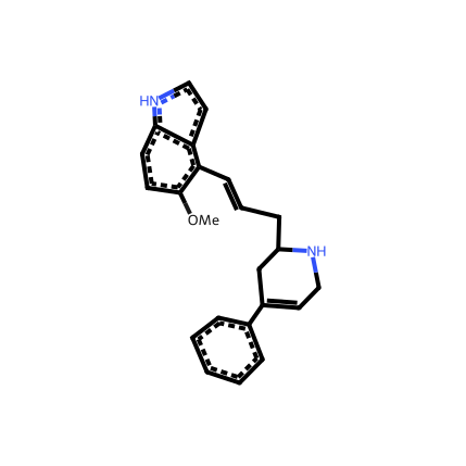 COc1ccc2[nH]ccc2c1C=CCC1CC(c2ccccc2)=CCN1